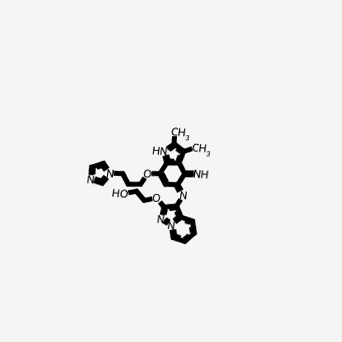 Cc1[nH]c2c(c1C)C(=N)/C(=N/c1c(OCCO)nn3ccccc13)C=C2OCCCn1ccnc1